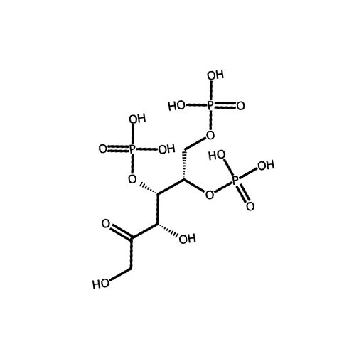 O=C(CO)[C@@H](O)[C@H](OP(=O)(O)O)[C@H](COP(=O)(O)O)OP(=O)(O)O